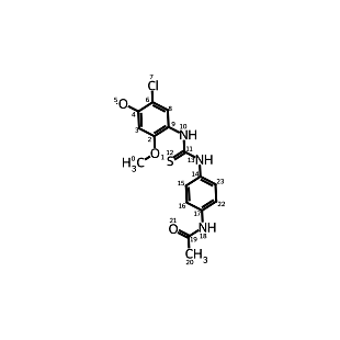 COc1cc([O])c(Cl)cc1NC(=S)Nc1ccc(NC(C)=O)cc1